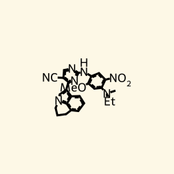 [CH2]CN(C)c1cc(OC)c(Nc2ncc(C#N)c(-c3cn4c5c(cccc35)CCC4)n2)cc1[N+](=O)[O-]